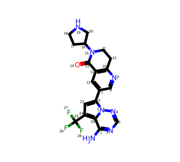 Nc1ncnn2c(-c3cnc4c(c3)C(=O)N(C3CCNC3)CC4)cc(C(F)(F)F)c12